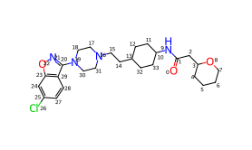 O=C(CC1CCCCO1)NC1CCC(CCN2CCN(c3noc4cc(Cl)ccc34)CC2)CC1